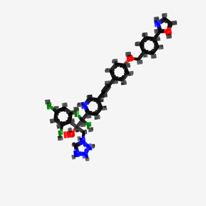 OC(Cn1cnnn1)(c1ccc(F)cc1F)C(F)(F)c1ccc(C#Cc2ccc(OCc3ccc(-c4ncco4)cc3)cc2)cn1